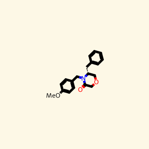 COc1ccc(CN2C(=O)COC[C@H]2Cc2ccccc2)cc1